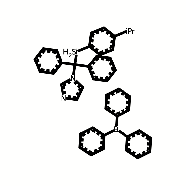 CC(C)c1ccc([SiH2]C(c2ccccc2)(c2ccccc2)n2ccnc2)cc1.c1ccc(B(c2ccccc2)c2ccccc2)cc1